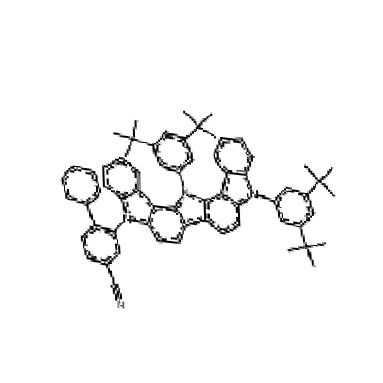 CC(C)(C)c1cc(-n2c3ccccc3c3c2ccc2c4ccc5c(c6ccccc6n5-c5cc(C#N)ccc5-c5ccccc5)c4n(-c4cc(C(C)(C)C)cc(C(C)(C)C)c4)c23)cc(C(C)(C)C)c1